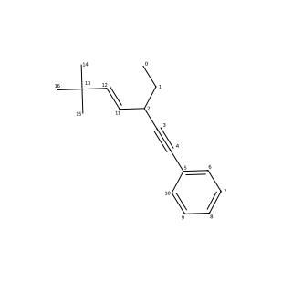 CCC(C#Cc1ccccc1)C=CC(C)(C)C